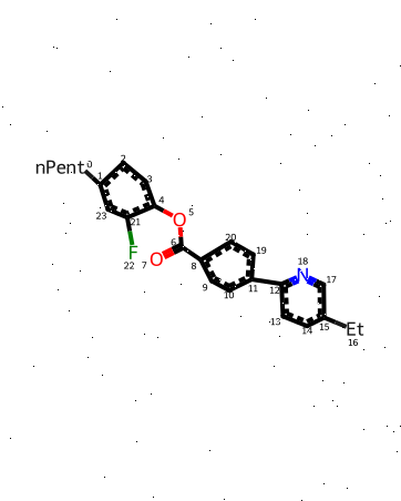 CCCCCc1ccc(OC(=O)c2ccc(-c3ccc(CC)cn3)cc2)c(F)c1